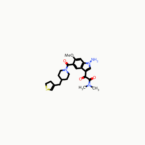 COc1cc2c(cc1C(=O)N1CCC(CC3=CSCC3)CC1)c(C(=O)C(=O)N(C)C)cn2N